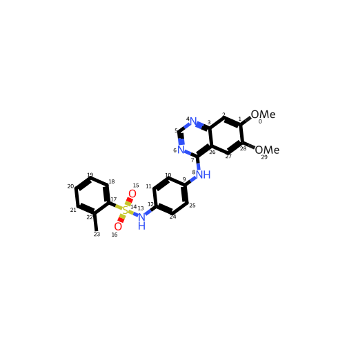 COc1cc2ncnc(Nc3ccc(NS(=O)(=O)c4ccccc4C)cc3)c2cc1OC